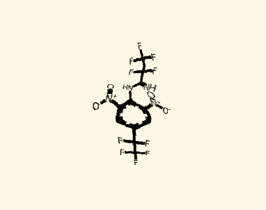 N=C(Nc1c([N+](=O)[O-])cc(C(F)(F)C(F)(F)F)cc1[N+](=O)[O-])C(F)(F)C(F)(F)F